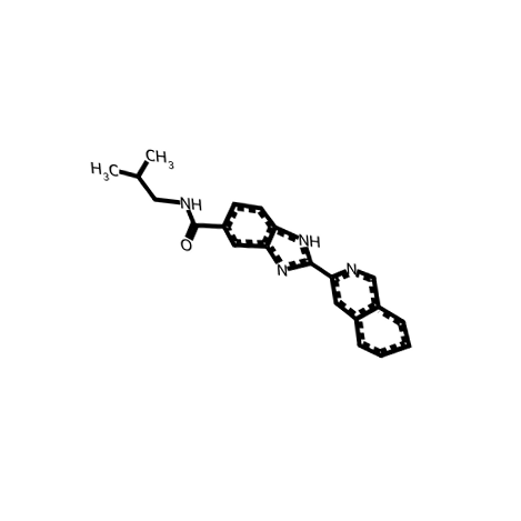 CC(C)CNC(=O)c1ccc2[nH]c(-c3cc4ccccc4cn3)nc2c1